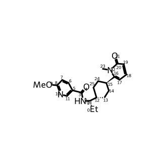 CC[C@H](NC(=O)c1ccc(OC)nc1)[C@H]1CC[C@H](c2cccc(=O)n2C)CC1